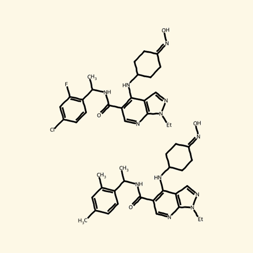 CCn1ncc2c(NC3CCC(=NO)CC3)c(C(=O)NC(C)c3ccc(C)cc3C)cnc21.CCn1ncc2c(NC3CCC(=NO)CC3)c(C(=O)NC(C)c3ccc(Cl)cc3F)cnc21